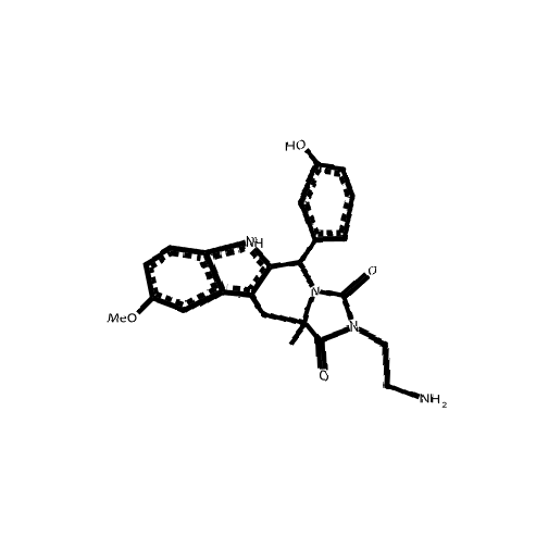 COc1ccc2[nH]c3c(c2c1)CC1(C)C(=O)N(CCN)C(=O)N1C3c1cccc(O)c1